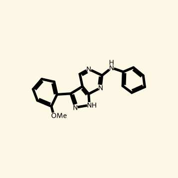 COc1ccccc1-c1n[nH]c2nc(Nc3ccccc3)ncc12